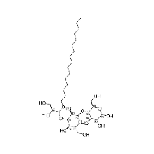 CCCCCCCCCCCCCCCCOC(O[C@@H]1[C@@H](O)[C@@H](O[C@H]2[C@H](O)[C@@H](O)[C@H](O)O[C@@H]2CO)O[C@H](CO)[C@H]1O)[C@H](CO)OC